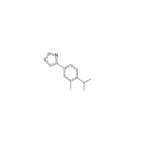 Cc1cc(-c2cs[c]n2)ccc1C(C)C